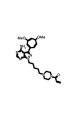 C=CC(=O)N1CCN(CCCCCn2nc(C3=CC(OC)=CC(OC)C=C3)c3c(N)ncnc32)CC1